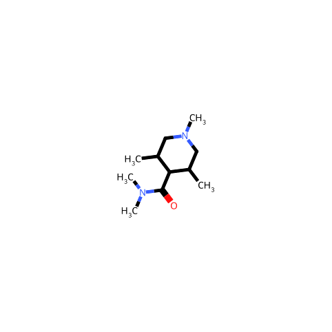 CC1CN(C)CC(C)C1C(=O)N(C)C